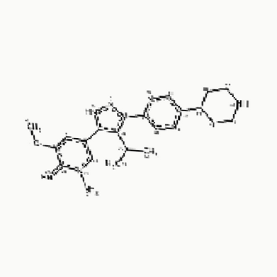 COc1cc(-c2[nH]nc(-c3ccc(C4CCNCC4)cn3)c2C(C)C)cn(N)c1=N